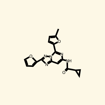 Cc1ccc(-c2nc(NC(=O)C3CC3)cc3nc(-c4ccco4)nn23)o1